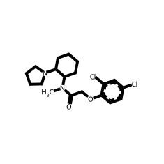 CN(C(=O)COc1ccc(Cl)cc1Cl)C1CCCCC1N1CCCC1